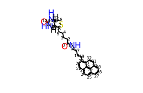 O=C(CCCC[C@@H]1SC[C@@H]2NC(=O)N[C@@H]21)NCCCCc1ccc2ccc3cccc4ccc1c2c34